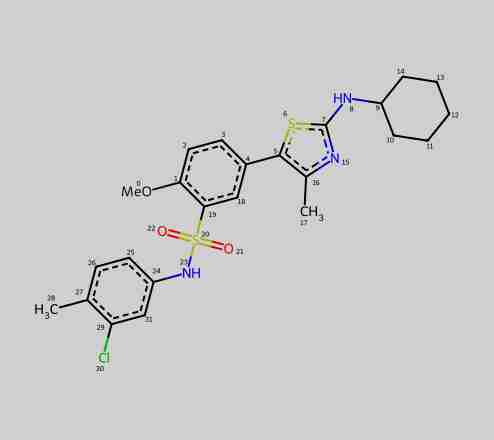 COc1ccc(-c2sc(NC3CCCCC3)nc2C)cc1S(=O)(=O)Nc1ccc(C)c(Cl)c1